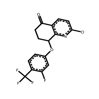 O=C1CCC(Oc2ccc(C(F)(F)F)c(F)c2)c2nc(Cl)ccc21